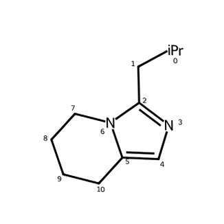 CC(C)Cc1ncc2n1CCCC2